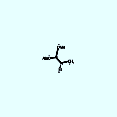 CC[C@@H](C)C(OC)OC